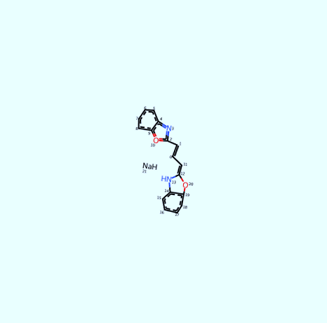 C(=Cc1nc2ccccc2o1)C=C1Nc2ccccc2O1.[NaH]